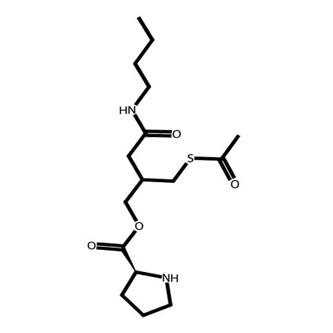 CCCCNC(=O)CC(COC(=O)[C@@H]1CCCN1)CSC(C)=O